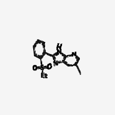 CCS(=O)(=O)c1ccccc1-c1nc2cc(C)cnc2[nH]1